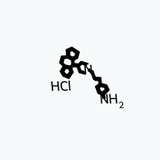 Cl.Nc1ccc(/C=C/CN2CCC(=C3c4ccccc4C=Cc4ccccc43)CC2)cc1